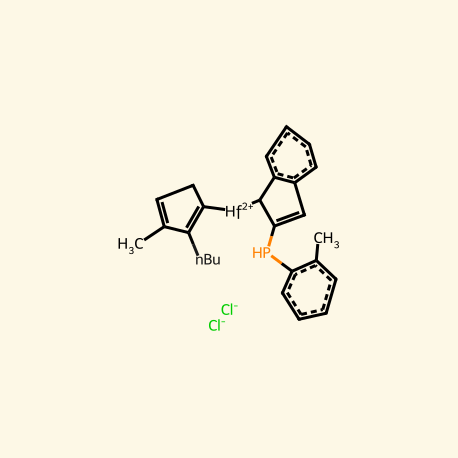 CCCCC1=[C]([Hf+2][CH]2C(Pc3ccccc3C)=Cc3ccccc32)CC=C1C.[Cl-].[Cl-]